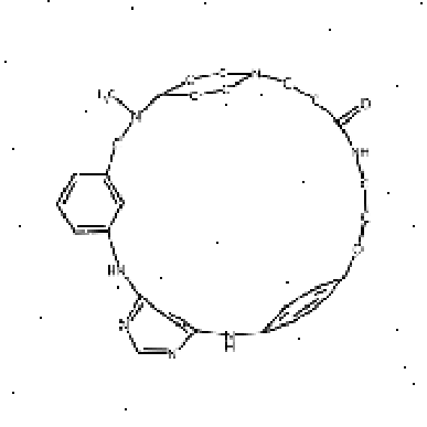 CN1Cc2cccc(c2)Nc2cc(ncn2)Nc2ccc(cc2)OCCNC(=O)CCN2CCC1CC2